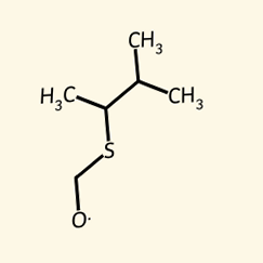 CC(C)C(C)SC[O]